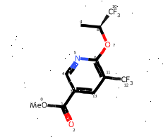 COC(=O)c1cnc(O[C@@H](C)C(F)(F)F)c(C(F)(F)F)c1